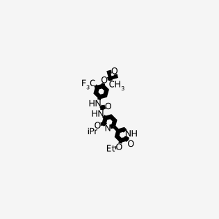 CCOc1cc(-c2ccc(NC(=O)Nc3ccc(OC4(C)COC4)c(C(F)(F)F)c3)c(OC(C)C)n2)c[nH]c1=O